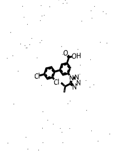 CC(C)c1nnnn1-c1cc(C(=O)O)cc(-c2ccc(Cl)cc2Cl)c1